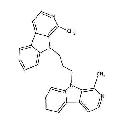 Cc1nccc2c3ccccc3n(CCCn3c4ccccc4c4ccnc(C)c43)c12